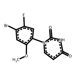 COc1cc(Br)c(F)cc1-n1ccc(=O)[nH]c1=O